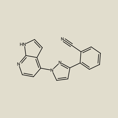 N#Cc1ccccc1-c1ccn(-c2ccnc3[nH]ccc23)n1